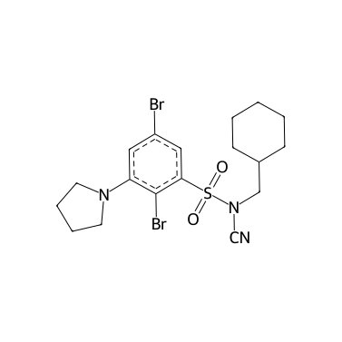 N#CN(CC1CCCCC1)S(=O)(=O)c1cc(Br)cc(N2CCCC2)c1Br